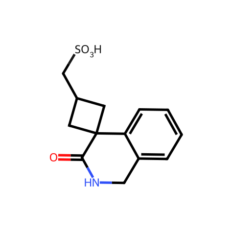 O=C1NCc2ccccc2C12CC(CS(=O)(=O)O)C2